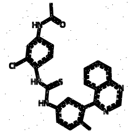 CC(=O)Nc1ccc(NC(=S)Nc2ccc(C)c(-c3ncnc4ccccc34)c2)c(Cl)c1